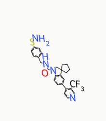 NSc1ccc(CNC(=O)N2CC3(CCCC3)c3cc(-c4ccncc4C(F)(F)F)ccc32)cc1